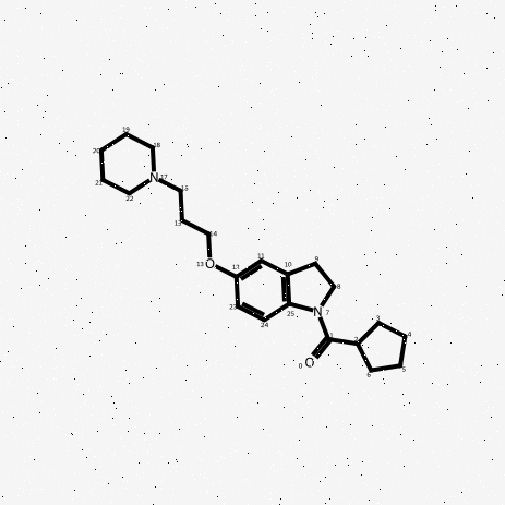 O=C(C1CCCC1)N1CCc2cc(OCCCN3CCCCC3)ccc21